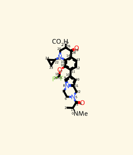 CN[C@@H](C)C(=O)N1CCn2cc(-c3ccc4c(c3OC(F)F)N(C3CC3)CC(C(=O)O)C4=O)cc2C1